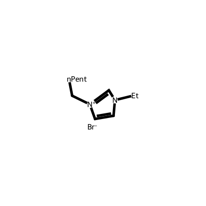 CCCCCC[n+]1ccn(CC)c1.[Br-]